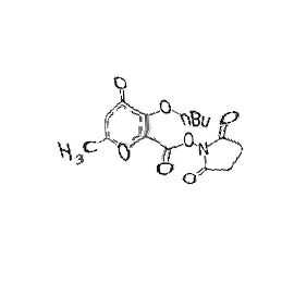 CCCCOc1c(C(=O)ON2C(=O)CCC2=O)oc(C)cc1=O